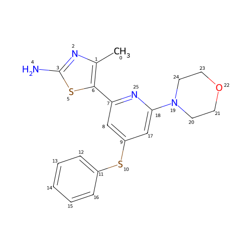 Cc1nc(N)sc1-c1cc(Sc2ccccc2)cc(N2CCOCC2)n1